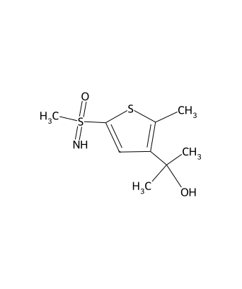 Cc1sc(S(C)(=N)=O)cc1C(C)(C)O